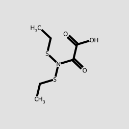 CCSN(SCC)C(=O)C(=O)O